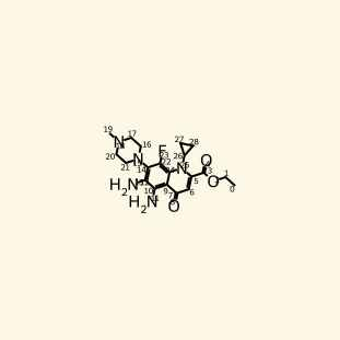 CCOC(=O)c1cc(=O)c2c(N)c(N)c(N3CCN(C)CC3)c(F)c2n1C1CC1